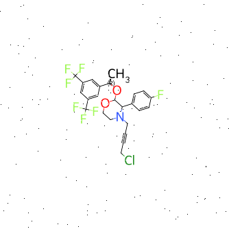 C[C@@H](OC1OCCN(CC#CCCl)C1c1ccc(F)cc1)c1cc(C(F)(F)F)cc(C(F)(F)F)c1